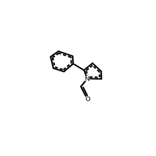 O=Cn1cccc1-c1ccccc1